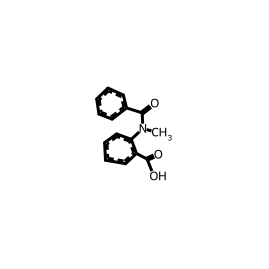 CN(C(=O)c1ccccc1)c1ccccc1C(=O)O